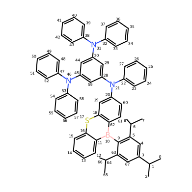 CC(C)c1cc(C(C)C)c(B2c3ccccc3Sc3cc(N(c4ccccc4)c4cc(N(c5ccccc5)c5ccccc5)cc(N(c5ccccc5)c5ccccc5)c4)ccc32)c(C(C)C)c1